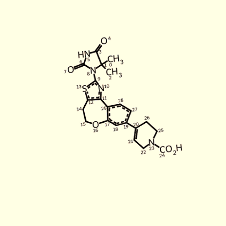 CC1(C)C(=O)NC(=O)N1c1nc2c(s1)CCOc1cc(C3=CCN(C(=O)O)CC3)ccc1-2